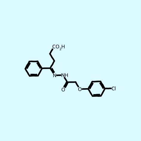 O=C(O)CC/C(=N\NC(=O)COc1ccc(Cl)cc1)c1ccccc1